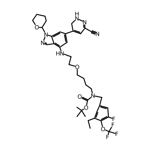 CCc1cc(CN(CCCCOCCNc2cc(C3=CC(C#N)=NNC3)cc3c2cnn3C2CCCCO2)C(=O)OC(C)(C)C)cc(F)c1OC(F)(F)F